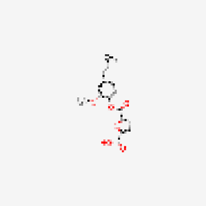 C=CCc1ccc(OC(=O)c2ccc(C(=O)O)o2)c(OC)c1